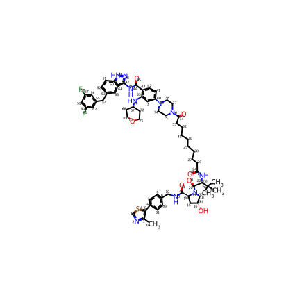 Cc1ncsc1-c1ccc(CNC(=O)[C@@H]2C[C@@H](O)CN2C(=O)[C@@H](NC(=O)CCCCCCCCC(=O)N2CCN(c3ccc(C(=O)Nc4n[nH]c5ccc(Cc6cc(F)cc(F)c6)cc45)c(NC4CCOCC4)c3)CC2)C(C)(C)C)cc1